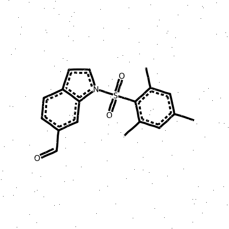 Cc1cc(C)c(S(=O)(=O)n2ccc3ccc(C=O)cc32)c(C)c1